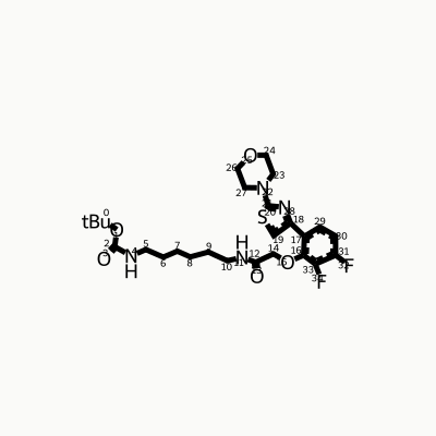 CC(C)(C)OC(=O)NCCCCCCNC(=O)COc1c(-c2csc(N3CCOCC3)n2)ccc(F)c1F